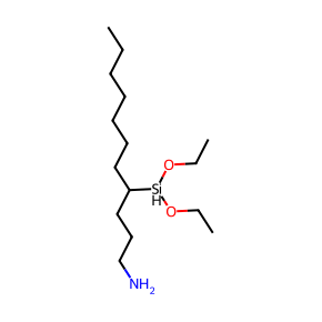 CCCCCCCC(CCCN)[SiH](OCC)OCC